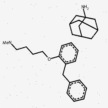 CNCCCCOc1ccccc1Cc1ccccc1.NC12CC3CC(CC(C3)C1)C2